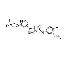 Cc1cc(NC(=O)NC[C@@H](O)c2ccnc(OCC(F)(F)F)c2)ccc1F